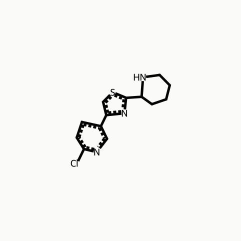 Clc1ccc(-c2csc(C3CCCCN3)n2)cn1